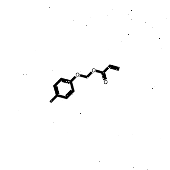 C=CC(=O)OCOc1ccc(C)cc1